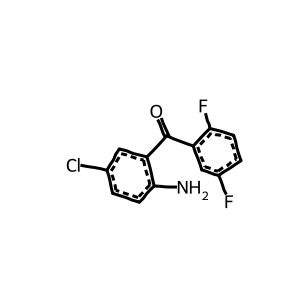 Nc1ccc(Cl)cc1C(=O)c1cc(F)ccc1F